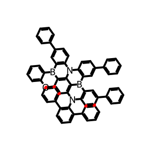 c1ccc(-c2ccc3c(c2)B2c4cc(-c5ccccc5)ccc4N4c5ccc(-c6ccccc6)cc5B5c6ccccc6Oc6cc(c2c4c65)N3c2c(-c3ccccc3)cccc2-c2ccccc2)cc1